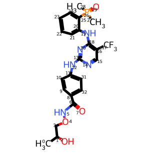 CC(O)CONC(=O)c1ccc(Nc2ncc(C(F)(F)F)c(Nc3ccccc3P(C)(C)=O)n2)cc1